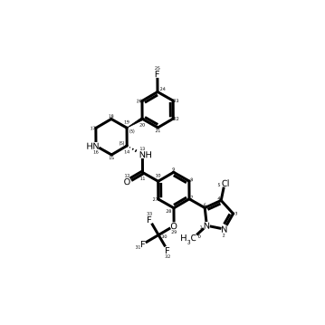 Cn1ncc(Cl)c1-c1ccc(C(=O)N[C@@H]2CNCC[C@H]2c2cccc(F)c2)cc1OC(F)(F)F